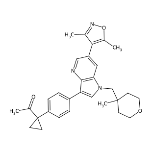 CC(=O)C1(c2ccc(-c3cn(CC4(C)CCOCC4)c4cc(-c5c(C)noc5C)cnc34)cc2)CC1